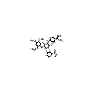 CCOC(=O)c1cc(OC)c(OC)c(Oc2c(F)c(Oc3cccc(C(=O)N(C)C)c3)nc(Oc3cc(C(=N)N)ccc3O)c2F)c1